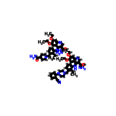 CCOc1cc2ncc(C(N)=O)c(Nc3cccc(CN4CCC(C(N)=O)CC4)c3CC)c2cc1OCC.CCOc1cc2ncc(C(N)=O)c(Nc3cccc(CN4CCN(c5ccccc5C#N)CC4)c3CC)c2cc1OCC